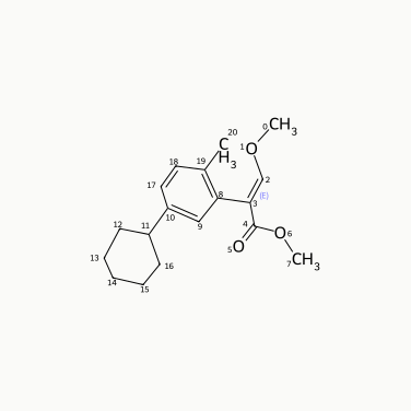 CO/C=C(/C(=O)OC)c1cc(C2CCCCC2)ccc1C